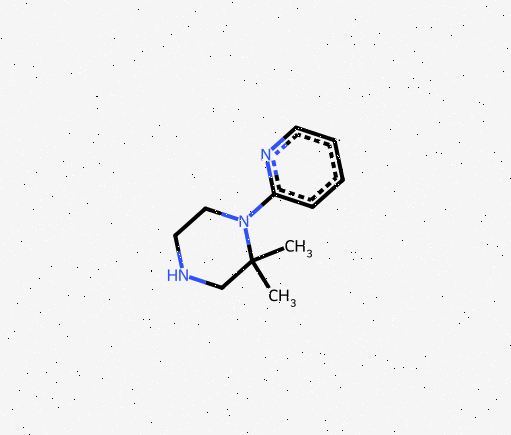 CC1(C)CNCCN1c1cc[c]cn1